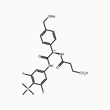 COCc1ccc([C@@H](NC(=O)CCC(=O)O)C(=O)Nc2cc(F)c(S(C)(C)C)c(F)c2)cc1